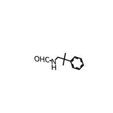 CC(C)(CNC=O)c1ccccc1